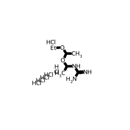 CCOC(C)OC(C)NC(=N)N.Cl.Cl.Cl.Cl.Cl.Cl